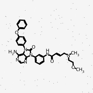 COCCN(C)CC=CC(=O)Nc1cccc(-n2c(=O)n(-c3ccc(Oc4ccccc4)cc3)c3c(N)ncnc32)c1